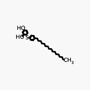 CCCCCCCCCCCCCCCCCc1ccc(Sc2ccc(O)cc2O)cc1